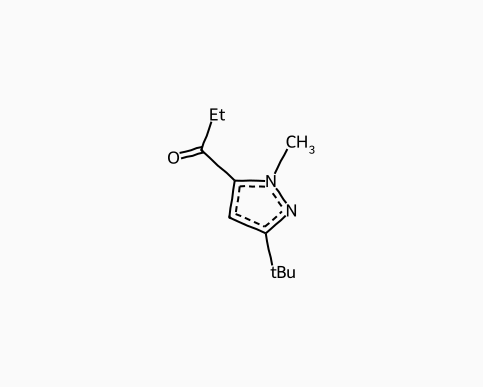 CCC(=O)c1cc(C(C)(C)C)nn1C